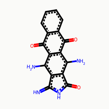 N=c1[nH]c(=O)c2c(N)c3c(=O)c4ccccc4c(=O)c3c(N)c12